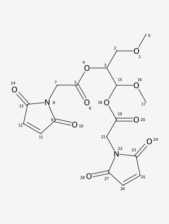 COCC(OC(=O)CN1C(=O)C=CC1=O)C(OC)OC(=O)CN1C(=O)C=CC1=O